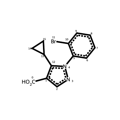 O=C(O)c1cnn(-c2ccccc2Br)c1C1CC1